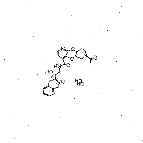 CC(=O)N1CCC(Oc2nccc(C(=O)NC[C@@H](O)C3Cc4ccccc4CN3)c2Cl)CC1.Cl.Cl